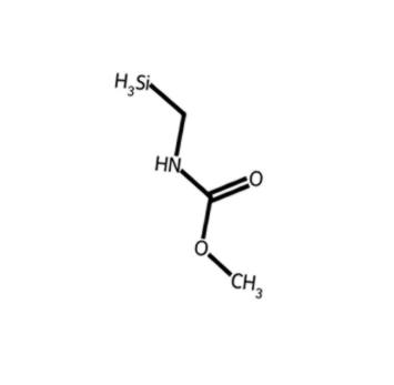 COC(=O)NC[SiH3]